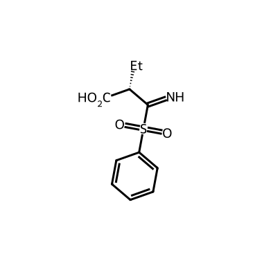 CC[C@H](C(=N)S(=O)(=O)c1ccccc1)C(=O)O